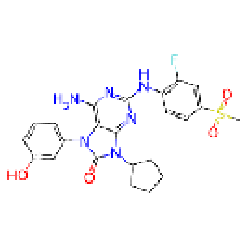 CS(=O)(=O)c1ccc(Nc2nc(N)c3c(n2)n(C2CCCC2)c(=O)n3-c2cccc(O)c2)c(F)c1